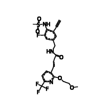 C#Cc1cc(CNC(=O)/C=C/c2ccc(C(F)(F)F)nc2OCCOC)cc(F)c1NS(C)(=O)=O